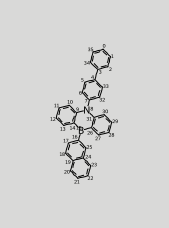 c1ccc(-c2ccc(N3c4ccccc4B(c4ccc5ccccc5c4)c4ccccc43)cc2)cc1